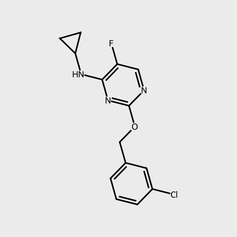 Fc1cnc(OCc2cccc(Cl)c2)nc1NC1CC1